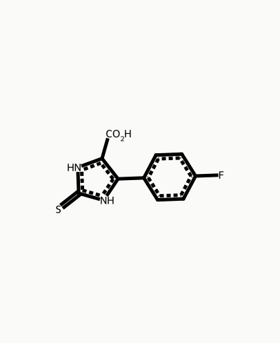 O=C(O)c1[nH]c(=S)[nH]c1-c1ccc(F)cc1